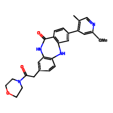 COc1cc(-c2ccc3c(c2)Nc2ccc(CC(=O)N4CCOCC4)cc2NC3=O)c(C)cn1